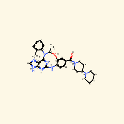 CSc1ccccc1N1c2nc(nc3[nH]cnc23)Nc2ccc(C(=O)N3CCC(N4CCCCC4)CC3)cc2OC1C